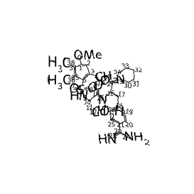 COc1cc(C)c(S(=O)(=O)N[C@@H](CC(=O)O)C(=O)N[C@H](Cc2ccc(C(=N)N)cc2)C(=O)N2CCCCC2)c(C)c1C